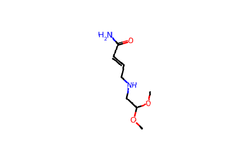 COC(CNCC=CC(N)=O)OC